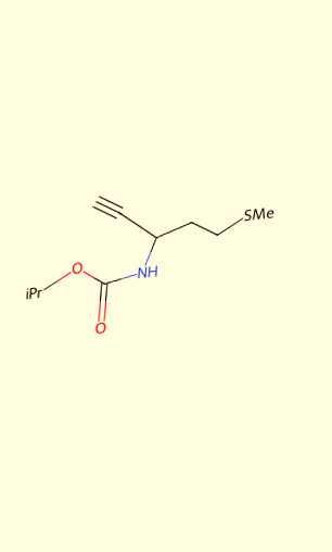 C#CC(CCSC)NC(=O)OC(C)C